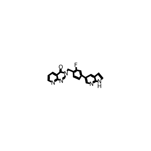 O=c1c2cccnc2ncn1Cc1ccc(-c2cnc3[nH]ccc3c2)cc1F